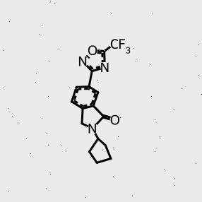 O=C1c2cc(-c3noc(C(F)(F)F)n3)ccc2CN1C1CCCC1